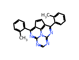 Cc1ccccc1-c1nc2ncnc3nc(-c4ccccc4C)c4ccc1c4n23